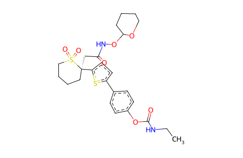 CCNC(=O)Oc1ccc(-c2ccc([C@@]3(CC(=O)NOC4CCCCO4)CCCCS3(=O)=O)s2)cc1